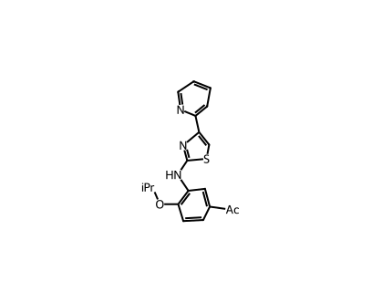 CC(=O)c1ccc(OC(C)C)c(Nc2nc(-c3ccccn3)cs2)c1